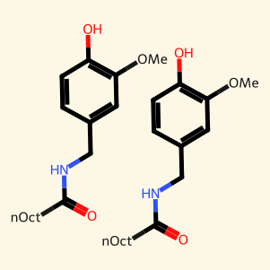 CCCCCCCCC(=O)NCc1ccc(O)c(OC)c1.CCCCCCCCC(=O)NCc1ccc(O)c(OC)c1